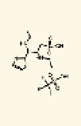 CCNC(CS(=O)(=O)O)C(NCC)c1ncc[nH]1.O=S(=O)(O)C(F)(F)F